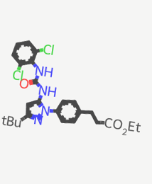 CCOC(=O)CCc1ccc(-n2nc(C(C)(C)C)cc2NC(=O)Nc2c(Cl)cccc2Cl)cc1